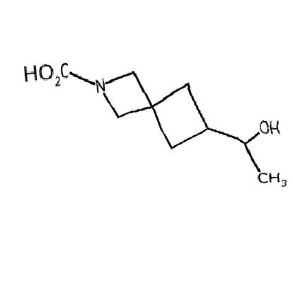 CC(O)C1CC2(C1)CN(C(=O)O)C2